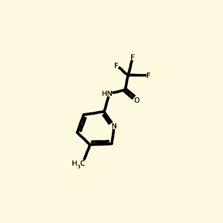 Cc1ccc(NC(=O)C(F)(F)F)nc1